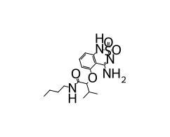 CCCCNC(=O)C(Oc1cccc2c1C(N)=NS(=O)(=O)N2)C(C)C